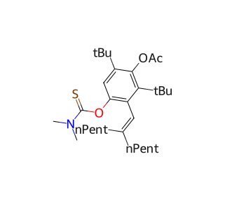 CCCCCC(=Cc1c(OC(=S)N(C)C)cc(C(C)(C)C)c(OC(C)=O)c1C(C)(C)C)CCCCC